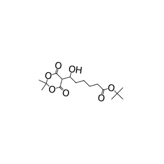 CC(C)(C)OC(=O)CCCCC(O)C1C(=O)OC(C)(C)OC1=O